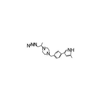 CC1=CC(c2ccc(CN3CCN(C(C)CN=[N+]=[N-])CC3)cc2)=CNC1